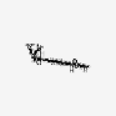 CC(CN(CCCN(C)C)CCCN(C)C)OC(=O)NCCCCCCCCCCCCNC(=O)OCCCN(C)C